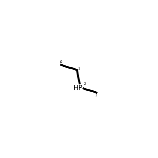 CCPC